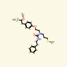 CCCSCCCN(CCOc1ccc(CC(OCC)C(=O)O)cc1)C(=O)NCCc1ccccc1